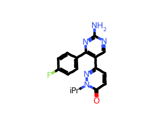 CC(C)n1nc(-c2cnc(N)nc2-c2ccc(F)cc2)ccc1=O